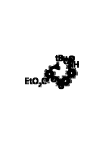 CCOC(=O)Cc1ccc(CC2CC2)cc1OCc1coc2ccc(-c3cccc(CNC(=O)OC(C)(C)C)c3)cc12